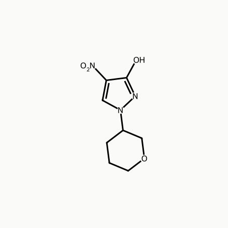 O=[N+]([O-])c1cn(C2CCCOC2)nc1O